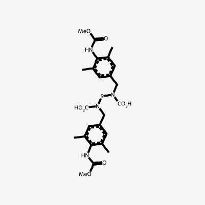 COC(=O)Nc1c(C)cc(CN(SN(Cc2cc(C)c(NC(=O)OC)c(C)c2)C(=O)O)C(=O)O)cc1C